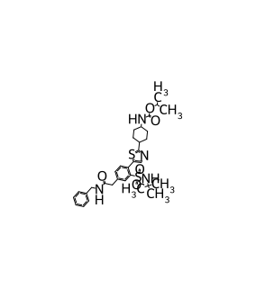 CC(C)OC(=O)NC1CCC(c2ncc(-c3ccc(CC(=O)NCc4ccccc4)cc3S(=O)(=O)NC(C)(C)C)s2)CC1